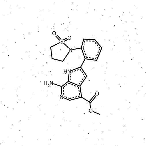 COC(=O)c1cnc(N)c2[nH]c(-c3ccccc3N3CCCS3(=O)=O)cc12